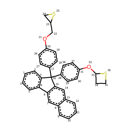 c1ccc2c(c1)-c1cc3ccccc3cc1C2(c1ccc(OCC2CS2)cc1)c1ccc(OC2CCS2)cc1